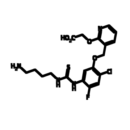 NCCCCNC(=S)Nc1cc(OCc2cccnc2OCC(=O)O)c(Cl)cc1F